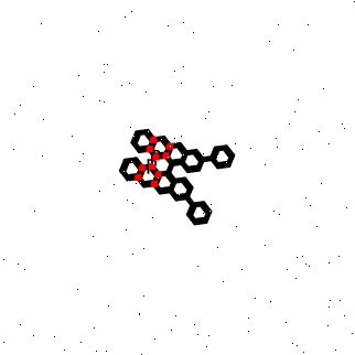 c1ccc(-c2ccc3c(-c4c(P(c5ccccc5)c5ccccc5)ccc5cc(-c6ccccc6)ccc45)c(P(c4ccccc4)c4ccccc4)ccc3c2)cc1